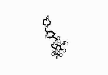 CC(C)[C@H]1C(=O)N(S(C)(=O)=O)[C@H]2CCN(C(=O)c3ccc(CN4CCN(C)CC4)nc3)[C@H]12